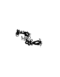 CC(C)(C)C(=O)NCc1ccc(F)c(C(=O)Nc2ccc3cnn(-c4ccc(C(F)(F)F)cc4)c(=O)c3c2)c1